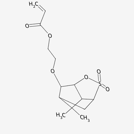 C=CC(=O)OCCOC1C2OS(=O)(=O)C3CC1C(C)(C)C23